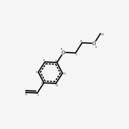 C=Cc1ccc(OCCOC)cc1